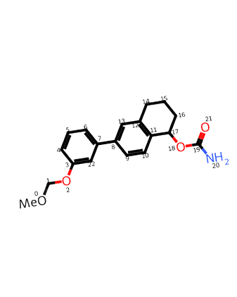 COCOc1cccc(-c2ccc3c(c2)CCCC3OC(N)=O)c1